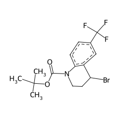 CC(C)(C)OC(=O)N1CCC(Br)c2cc(C(F)(F)F)ccc21